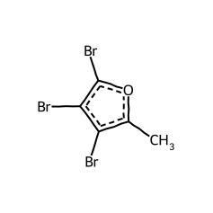 Cc1oc(Br)c(Br)c1Br